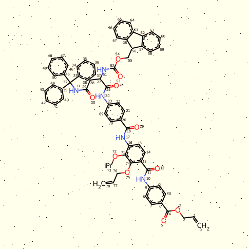 C=CCOC(=O)c1ccc(NC(=O)c2ccc(NC(=O)c3ccc(NC(=O)C(CC(=O)NC(c4ccccc4)(c4ccccc4)c4ccccc4)NC(=O)OCC4c5ccccc5-c5ccccc54)cc3)c(OC(C)C)c2OCC=C)cc1